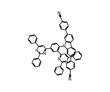 N#Cc1ccc(-c2ccc3c4ccc(-c5ccc(C#N)cc5)cc4n(-c4ccc(-c5cc(-c6ccccc6)nc(-c6ccccc6)n5)cc4-c4cc(-c5ccccc5)nc(-c5ccccc5)n4)c3c2)cc1